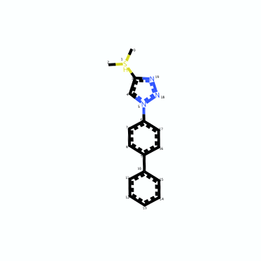 C[SH](C)c1cn(-c2ccc(-c3ccccc3)cc2)nn1